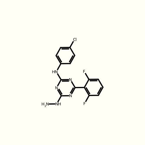 NNc1nc(Nc2ccc(Cl)cc2)nc(-c2c(F)cccc2F)n1